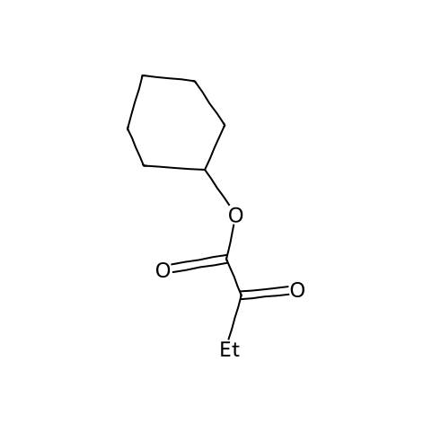 CCC(=O)C(=O)OC1CCCCC1